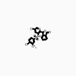 O=C1OC(c2ncc(Cl)cc2NS(=O)(=O)c2ccc(Cl)c(C(F)(F)F)c2)c2ccccc21